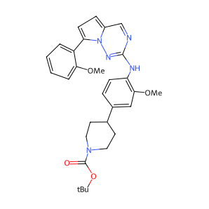 COc1cc(C2CCN(C(=O)OC(C)(C)C)CC2)ccc1Nc1ncc2ccc(-c3ccccc3OC)n2n1